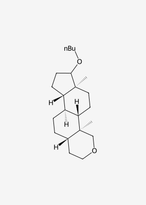 CCCCOC1CC[C@H]2[C@@H]3CC[C@H]4CCOC[C@]4(C)[C@H]3CC[C@]12C